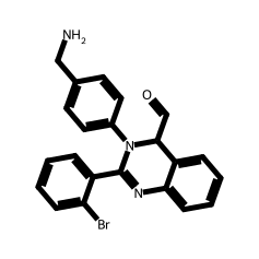 NCc1ccc(N2C(c3ccccc3Br)=Nc3ccccc3C2C=O)cc1